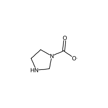 [O]C(=O)N1CCNC1